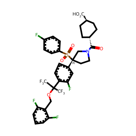 O=C(O)[C@H]1CC[C@H](C(=O)N2CC[C@](c3ccc(C(OCc4c(F)cccc4F)(C(F)(F)F)C(F)(F)F)c(F)c3)(S(=O)(=O)c3ccc(F)cc3)C2)CC1